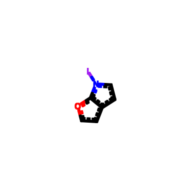 In1ccc2ccoc21